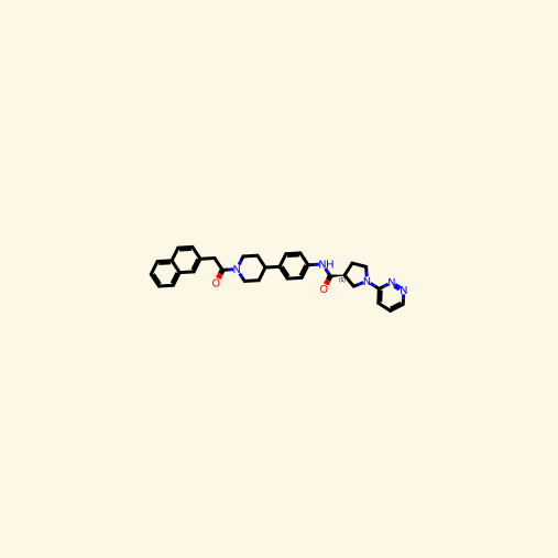 O=C(Nc1ccc(C2CCN(C(=O)Cc3ccc4ccccc4c3)CC2)cc1)[C@H]1CCN(c2cccnn2)C1